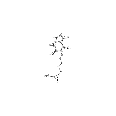 CCCC1OC1CCCCCn1c(=O)c2c(ncn2C)n(C)c1=O